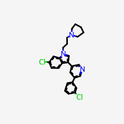 Clc1cccc(-c2cncc(-c3cn(CCCN4CCCCC4)c4cc(Cl)ccc34)c2)c1